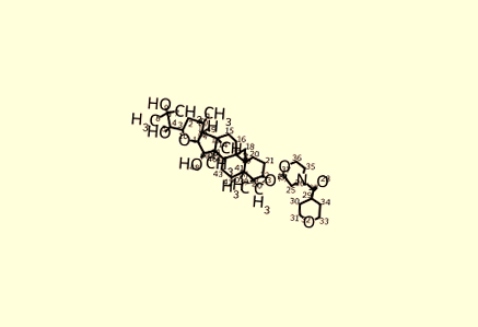 C[C@@H]1CC(C(O)C(C)(C)O)OC2[C@H]1C1(C)CCC34CC35CCC(O[C@H]3CN(C(=O)C6CCOCC6)CCO3)C(C)(C)[C@@H]5CCC4[C@]1(C)[C@H]2O